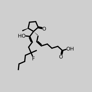 CCCCC(C)(F)CC=C(O)[C@]1(C/C=C\CCCC(=O)O)C(=O)CC[C@@H]1C